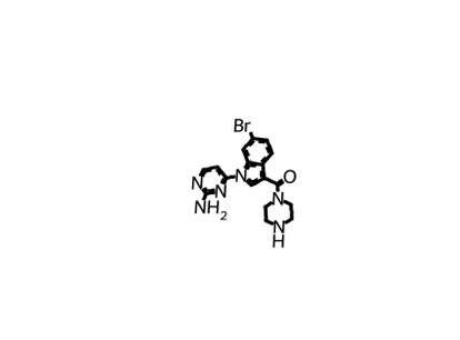 Nc1nccc(-n2cc(C(=O)N3CCNCC3)c3ccc(Br)cc32)n1